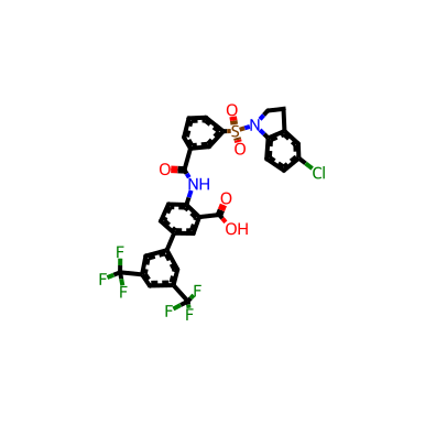 O=C(Nc1ccc(-c2cc(C(F)(F)F)cc(C(F)(F)F)c2)cc1C(=O)O)c1cccc(S(=O)(=O)N2CCc3cc(Cl)ccc32)c1